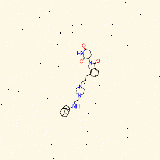 O=C1CCC(N2Cc3c(CCCN4CCN(CCNC56CC7CC(CC5C7)C6)CC4)cccc3C2=O)C(=O)N1